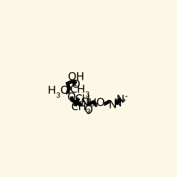 CC(C)(CNC(=O)CCOCCN=[N+]=[N-])COCC(C)(C)CC(=O)O